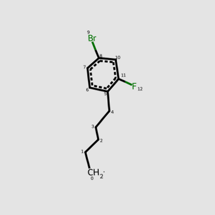 [CH2]CCCCc1ccc(Br)cc1F